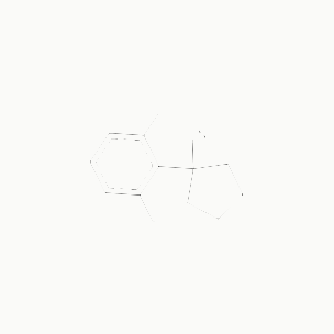 N#CC1(c2c(F)cccc2I)CCCC1